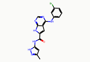 Cc1cc(NC(=O)c2cc3c(Nc4cccc(Br)c4)ncnc3[nH]2)[nH]n1